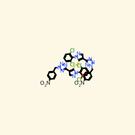 O=[N+]([O-])c1ccc(Cn2nnc(-c3cnn(-c4c(Cl)cccc4Cl)c3SSc3c(-c4nnn(Cc5ccc([N+](=O)[O-])cc5)n4)cnn3-c3c(Cl)cccc3Cl)n2)cc1